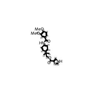 COc1ccc(C(=O)Nc2ccc(C(C)(C)COC(=O)c3c[nH]cn3)cc2)cc1OC